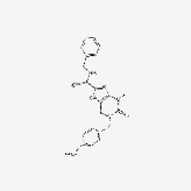 CN1C(=O)N(Cc2ccc(C(=O)O)cc2)Cc2oc(C(=O)NCc3ccccc3)nc21